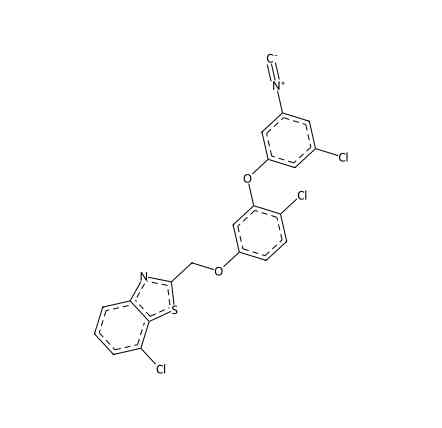 [C-]#[N+]c1cc(Cl)cc(Oc2cc(OCc3nc4cccc(Cl)c4s3)ccc2Cl)c1